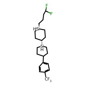 FC(F)CCC[Si@H]1CC[C@H]([SiH]2CCC(c3ccc(C(F)(F)F)cc3)CC2)CC1